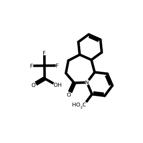 O=C(O)C(F)(F)F.O=C(O)C1=CC=CC2C3CC=CCC3CCC(=O)N12